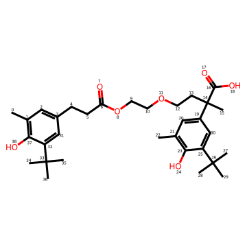 Cc1cc(CCC(=O)OCCOCCC(C)(C(=O)O)c2cc(C)c(O)c(C(C)(C)C)c2)cc(C(C)(C)C)c1O